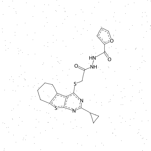 O=C(CSc1nc(C2CC2)nc2sc3c(c12)CCCC3)NNC(=O)c1ccco1